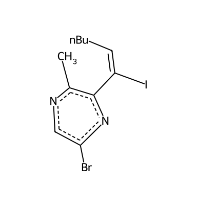 CCCC/C=C(/I)c1nc(Br)cnc1C